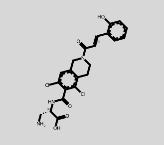 NC[C@H](NC(=O)c1c(Cl)cc2c(c1Cl)CCN(C(=O)/C=C/c1ccccc1O)C2)C(=O)O